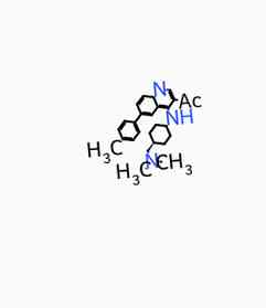 CC(=O)c1cnc2ccc(-c3ccc(C)cc3)cc2c1N[C@H]1CC[C@H](CN(C)C)CC1